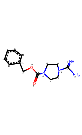 N=C(N)N1CCN(C(=O)OCc2ccccc2)CC1